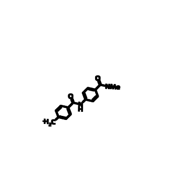 [CH2]c1ccc(C(=O)Nc2ccc(C(=O)NC)cc2)cc1